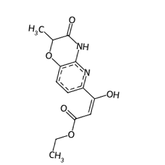 CCOC(=O)/C=C(/O)c1ccc2c(n1)NC(=O)C(C)O2